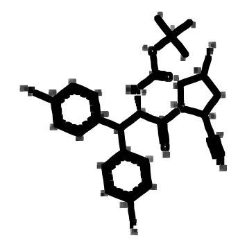 CC(C)(C)OC(=O)N[C@H](C(=O)N1CC(F)CC1C#N)C(c1ccc(F)cc1)c1ccc(F)cc1